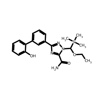 CCOC(n1nc(-c2cccc(-c3ccccc3O)c2)nc1C(N)=O)[Si](C)(C)C